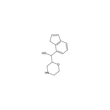 OC(c1cccc2c1CC=C2)C1CNCCO1